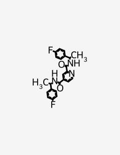 CC(NC(=O)c1ccnc(C(=O)NC(C)c2ccc(F)cc2)c1)c1ccc(F)cc1